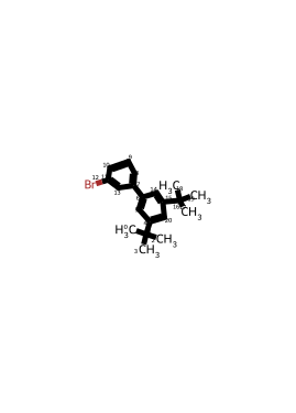 CC(C)(C)c1cc(-c2cccc(Br)c2)cc(C(C)(C)C)c1